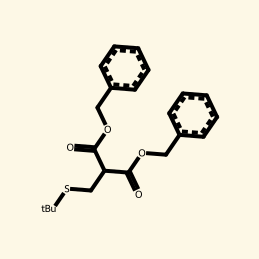 CC(C)(C)SCC(C(=O)OCc1ccccc1)C(=O)OCc1ccccc1